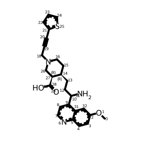 COc1ccc2nccc(C(N)CC[C@@H]3CCN(CC#Cc4cccs4)C[C@@H]3C(=O)O)c2c1